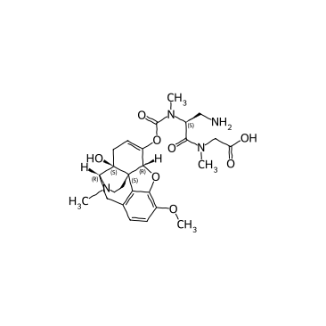 COc1ccc2c3c1O[C@H]1C(OC(=O)N(C)[C@@H](CN)C(=O)N(C)CC(=O)O)=CC[C@@]4(O)[C@@H](C2)N(C)CC[C@]314